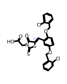 O=C(O)CN1C(=O)/C(=C/c2cc(OCc3ccccc3Cl)ccc2OCc2ccccc2Cl)SC1=S